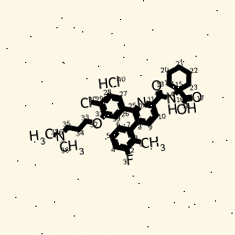 Cc1c(F)cccc1-c1ccc(C(=O)NC2(C(=O)O)CCCCC2)nc1-c1ccc(Cl)c(OCCCN(C)C)c1.Cl